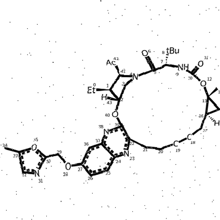 CC[C@@H]1[C@@H]2CN(C(=O)[C@H](C(C)(C)C)NC(=O)O[C@]3(C)C[C@H]3CCCCCc3nc4ccc(OCc5ncc(C)o5)cc4nc3O2)[C@@H]1C(C)=O